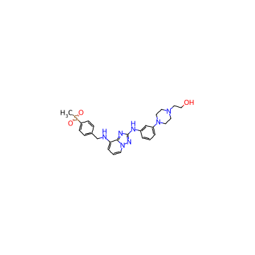 CS(=O)(=O)c1ccc(CNc2cccn3nc(Nc4cccc(N5CCN(CCO)CC5)c4)nc23)cc1